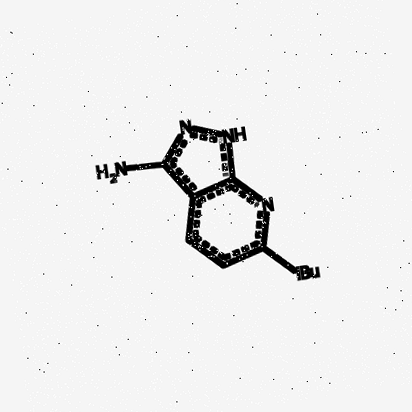 CCC(C)c1ccc2c(N)n[nH]c2n1